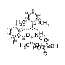 C=C(C)CN(C)CC(COCc1c(F)cccc1F)c1c(C)cccc1C.O=C(O)C(=O)O